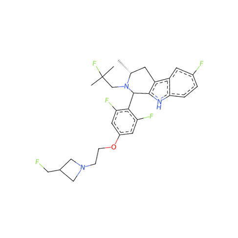 C[C@@H]1Cc2c([nH]c3ccc(F)cc23)C(c2c(F)cc(OCCN3CC(CF)C3)cc2F)N1CC(C)(C)F